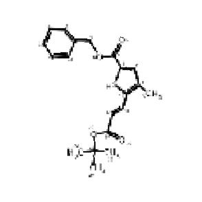 Cc1cc(C(=O)OCc2ccccc2)sc1C=CC(=O)OC(C)(C)C